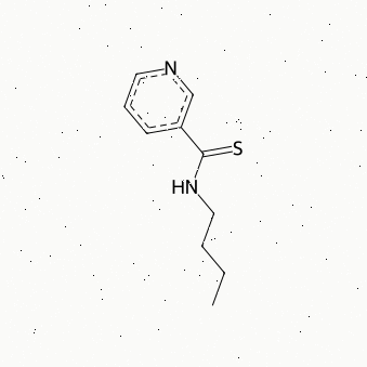 CCCCNC(=S)c1cccnc1